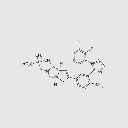 CC(C)(CN1C[C@@H]2CC(c3cnc(N)c(-c4nnnn4-c4cccc(F)c4F)c3)=C[C@@H]2C1)C(=O)O